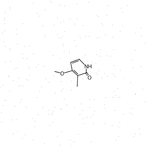 COc1cc[nH]c(=O)c1C